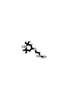 CC(C)NCCOC1CC(C)(C)NC(C)(C)C1